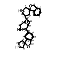 c1ccc2c(c1)COC21CNCC(C2CC3OC2CNC3c2ccc3c(c2)C2(CCNC2)OC3)C1